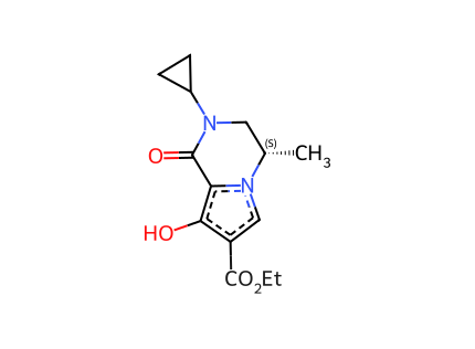 CCOC(=O)c1cn2c(c1O)C(=O)N(C1CC1)C[C@@H]2C